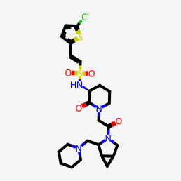 O=C1[C@@H](NS(=O)(=O)/C=C/c2ccc(Cl)s2)CCCN1CC(=O)N1CC2CC2C1CN1CCCCC1